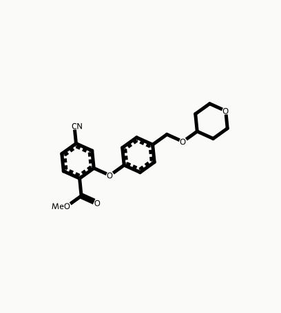 COC(=O)c1ccc(C#N)cc1Oc1ccc(COC2CCOCC2)cc1